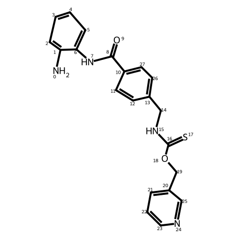 Nc1ccccc1NC(=O)c1ccc(CNC(=S)OCc2cccnc2)cc1